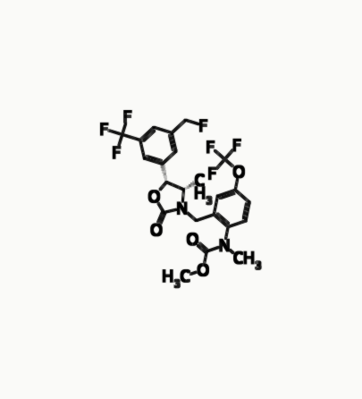 COC(=O)N(C)c1ccc(OC(F)(F)F)cc1CN1C(=O)O[C@H](c2cc(CF)cc(C(F)(F)F)c2)[C@@H]1C